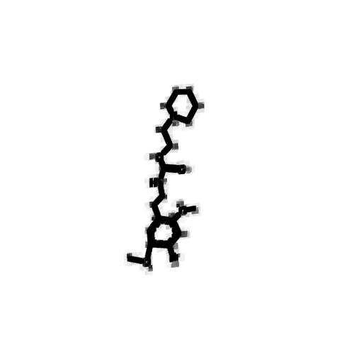 COc1cc(CCNC(=O)OCCN2CCCCC2)c(OC)cc1Br